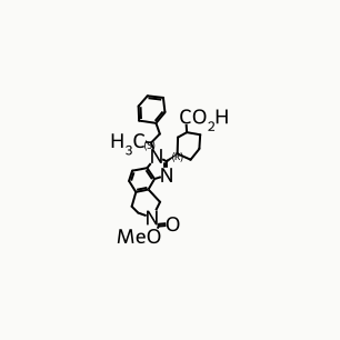 COC(=O)N1CCc2ccc3c(nc([C@@H]4CCCC(C(=O)O)C4)n3[C@@H](C)Cc3ccccc3)c2C1